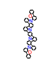 c1ccc2c(c1)oc1c(-n3c4ccccc4c4c5c6cccc7c8cc9c(cc8n(c5ccc43)c76)c3cccc4c5c6c7ccccc7n(-c7cccc8c7oc7ccccc78)c6ccc5n9c34)cccc12